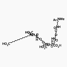 CN[C@@H](CCCCNC(=O)COCCOCCNC(=O)CC[C@H](NC(=O)CC[C@H](NC(=O)COCCOCCNC(=O)CCC(NC(=O)CCCCCCCCCCCCCCCCC(=O)O)C(=O)O)C(=O)O)C(=O)O)C(C)=O